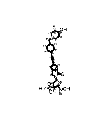 CC(CCN1Cc2cc(C#Cc3ccc(CN4CC[C@H](O)[C@@H](F)C4)cc3)cn2C1=O)(C(=O)NO)S(C)(=O)=O